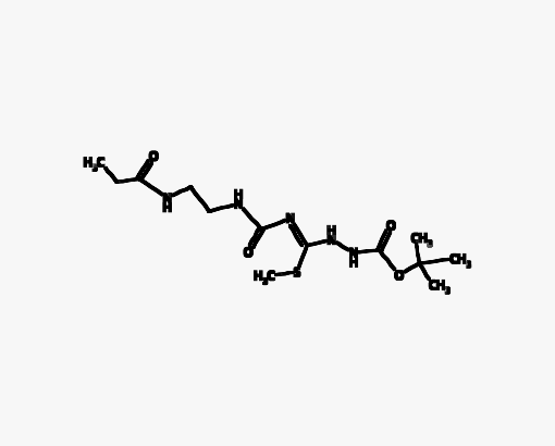 CCC(=O)NCCNC(=O)/N=C(/NNC(=O)OC(C)(C)C)SC